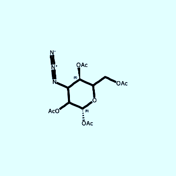 CC(=O)OCC1O[C@H](OC(C)=O)C(OC(C)=O)C(N=[N+]=[N-])[C@H]1OC(C)=O